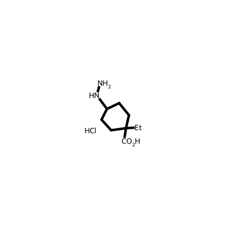 CCC1(C(=O)O)CCC(NN)CC1.Cl